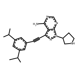 CC(C)c1cc(C#Cc2nn(C3CCNC3)c3ncnc(N)c23)cc(C(C)C)c1